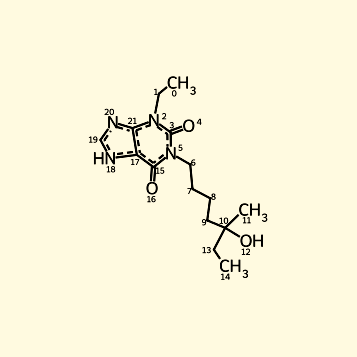 CCn1c(=O)n(CCCCC(C)(O)CC)c(=O)c2[nH]cnc21